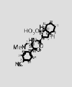 CNC[C@H](NC(=O)[C@@H]1C[C@@H]2CCCC[C@@H]2N1C(=O)O)C(=O)c1ccc(C#N)cc1